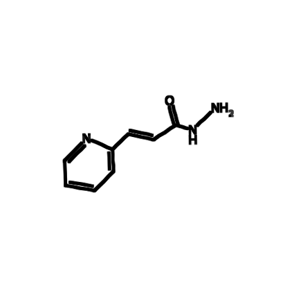 NNC(=O)/C=C/c1ccccn1